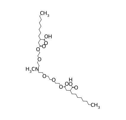 CCCCCCCCC(CC(=O)OCCOCCOCCN(C)CCOCCOC(=O)CC(CCCCCCCC)C(=O)O)C(=O)O